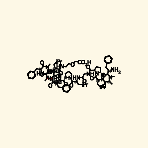 CCCC[C@@H](C(=O)N(C)[C@@H](CCCC)C(=O)N[C@@H](CC(C)C)C(=O)NCCOCC(=O)O)N(C)C(=O)[C@H](Cc1ccccc1)NC(=O)CNC(=O)[C@H](Cc1ccccc1)NC(=O)[C@@H]1CCCN1C(=O)[C@H](CC(C)C)NC(=O)CNC(=O)C1CCCN1C(=O)[C@H](CC(C)C)NC(=O)[C@H](C)N(C)C(=O)[C@@H](N)Cc1ccccc1